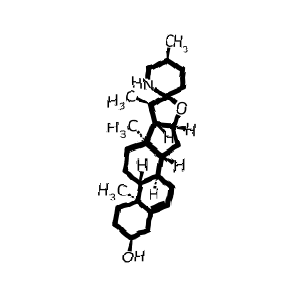 C[C@H]1CCC2(NC1)O[C@@H]1C[C@@H]3[C@H]4CC=C5C[C@@H](O)CC[C@@]5(C)[C@@H]4CC[C@@]3(C)[C@@H]1[C@H]2C